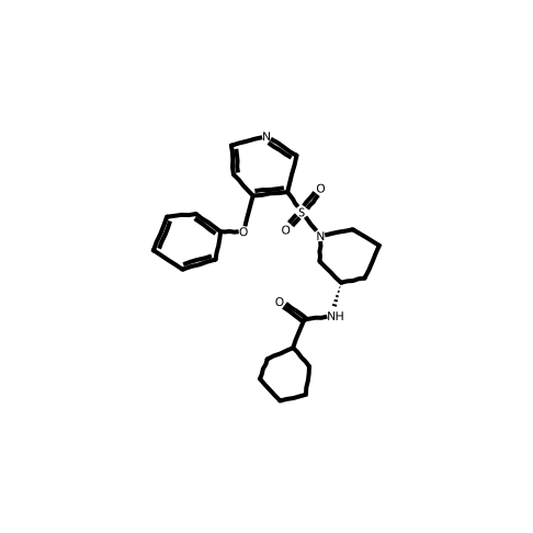 O=C(N[C@H]1CCCN(S(=O)(=O)c2cnccc2Oc2ccccc2)C1)C1CCCCC1